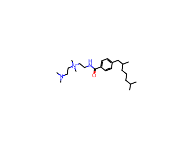 CC(C)CCCC(C)Cc1ccc(C(=O)NCC[N+](C)(C)CCN(C)C)cc1